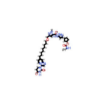 CC(C)NC(=O)O[C@@H]1CC[C@H](c2cc(NC(=O)c3cc(COCCCCCCCCCc4ccn5c(N6CCC(=O)NC6=O)cnc5c4)nn3C)[nH]n2)C1